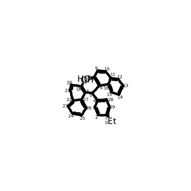 CCc1ccc(C(c2c(O)ccc3ccccc23)c2c(O)ccc3ccccc23)cc1